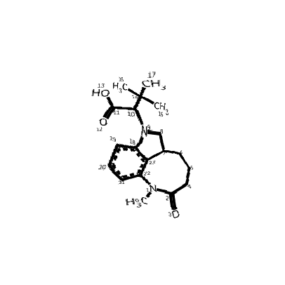 CN1C(=O)CCCC2CN(C(C(=O)O)C(C)(C)C)c3cccc1c32